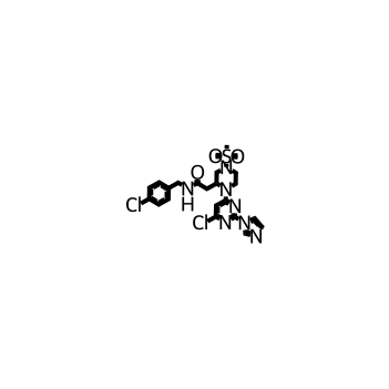 CS(=O)(=O)N1CCN(c2cc(Cl)nc(-n3ccnc3)n2)C(CC(=O)NCc2ccc(Cl)cc2)C1